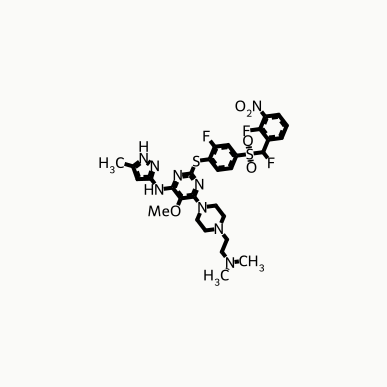 COc1c(Nc2cc(C)[nH]n2)nc(Sc2ccc(S(=O)(=O)C(F)c3cccc([N+](=O)[O-])c3F)cc2F)nc1N1CCN(CCN(C)C)CC1